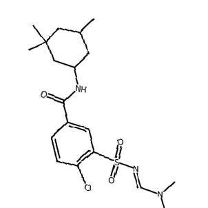 CC1CC(NC(=O)c2ccc(Cl)c(S(=O)(=O)/N=C/N(C)C)c2)CC(C)(C)C1